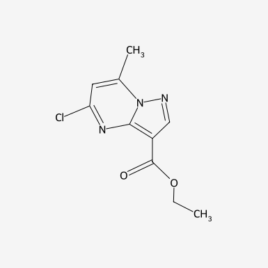 CCOC(=O)c1cnn2c(C)cc(Cl)nc12